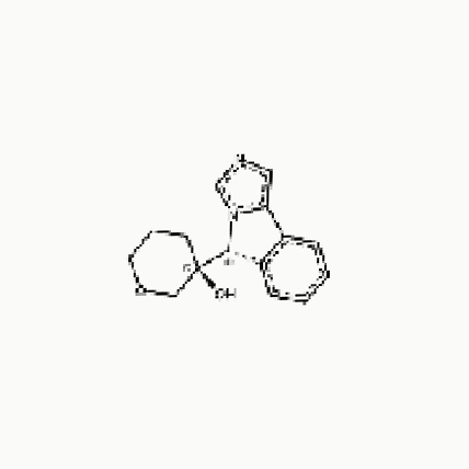 O[C@]1([C@H]2c3ccccc3-c3cncn32)CCCOC1